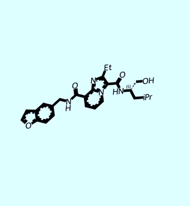 CCc1nc2c(C(=O)NCc3ccc4occc4c3)cccn2c1C(=O)N[C@H](CO)CC(C)C